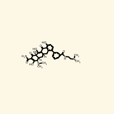 CN(C)CCNC(=O)c1cccc(-c2ccc(O)c3c2C[C@@H]2C[C@@H]4[C@@H](N(C)C)C(O)=C(C(N)=O)C(=O)[C@]4(O)C(O)=C2C3=O)c1